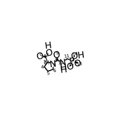 O=C(O)[C@@H]1CCCN1C(=O)NCP(=O)(O)O